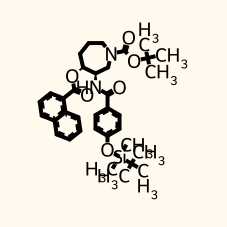 CC(C)(C)OC(=O)N1CCC[C@@H](OC(=O)c2cccc3ccccc23)[C@H](NC(=O)c2ccc(O[Si](C)(C)C(C)(C)C)cc2)C1